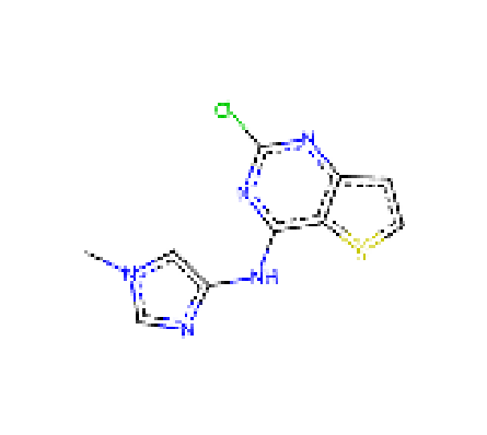 Cn1cnc(Nc2nc(Cl)nc3ccsc23)c1